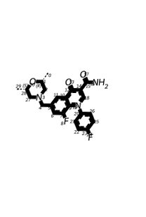 C[C@@H]1CN(Cc2cc(F)c3c(c2)c(=O)c(C(N)=O)cn3-c2ccc(F)cc2)C[C@H](C)O1